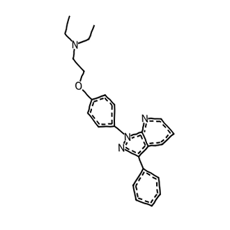 CCN(CC)CCOc1ccc(-n2nc(-c3ccccc3)c3cccnc32)cc1